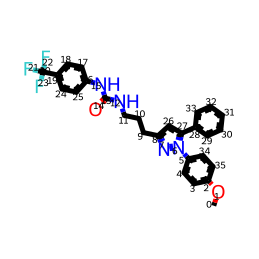 COc1ccc(-n2nc(CCCNC(=O)Nc3ccc(C(F)(F)F)cc3)cc2-c2ccccc2)cc1